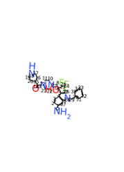 Nc1ccc2c(C(O)(CN3CCN(C(=O)C4CCNCC4)CC3)C(F)(F)F)cn(Cc3ccccc3)c2c1